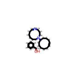 C1=CCCCC(N2CCCCCC=NCCC2)CCCCC1.OCc1ccccc1